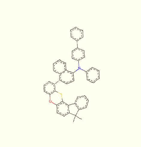 CC1(C)c2ccccc2-c2c1ccc1c2Sc2c(cccc2-c2ccc(N(c3ccccc3)c3ccc(-c4ccccc4)cc3)c3ccccc23)O1